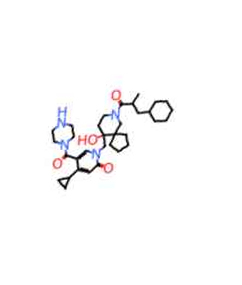 CC(CC1CCCCC1)C(=O)N1CC[C@@](O)(Cn2cc(C(=O)N3CCNCC3)c(C3CC3)cc2=O)C2(CCCC2)C1